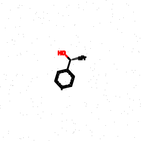 CCC[C@@H](O)c1cc[c]cc1